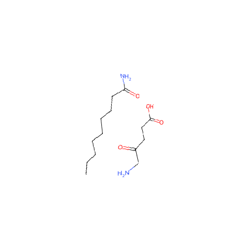 CCCCCCCCC(N)=O.NCC(=O)CCC(=O)O